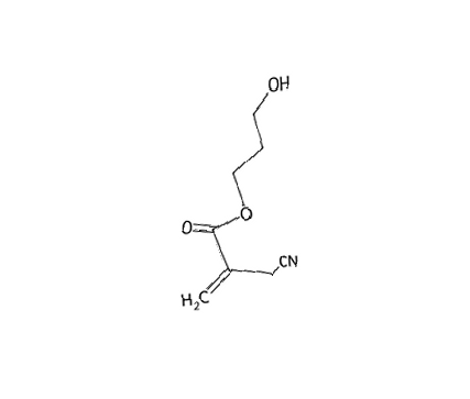 C=C(CC#N)C(=O)OCCCO